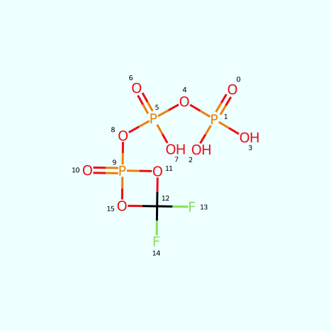 O=P(O)(O)OP(=O)(O)OP1(=O)OC(F)(F)O1